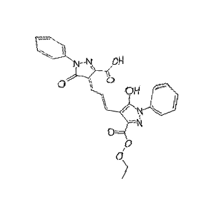 CCOOC(=O)c1nn(-c2ccccc2)c(O)c1C=CC=C1C(=O)N(c2ccccc2)N=C1C(=O)O